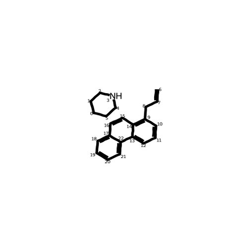 C1CCNCC1.C=CCc1cccc2c1ccc1ccccc12